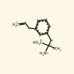 C=CCc1cccc(CC(C)(N)C(=O)O)c1